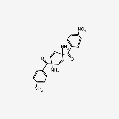 NC1(C(=O)c2ccc([N+](=O)[O-])cc2)C=CC(N)(C(=O)c2ccc([N+](=O)[O-])cc2)C=C1